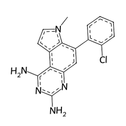 Cn1ccc2c3c(N)nc(N)nc3cc(-c3ccccc3Cl)c21